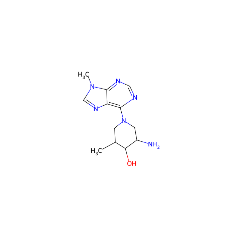 CC1CN(c2ncnc3c2ncn3C)CC(N)C1O